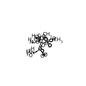 COc1ccc(C(OCC2OC(n3cc(C#CCNC(=O)C(F)(F)F)c4cc([N+](=O)[O-])ccc43)CC2OP(OCCC#N)N(C(C)C)C(C)C)(c2ccccc2)c2ccc(OC)cc2)cc1